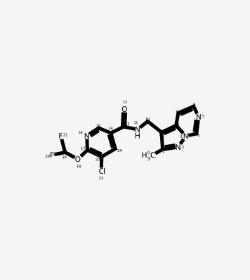 Cc1nn2cnccc2c1CNC(=O)c1cnc(OC(F)F)c(Cl)c1